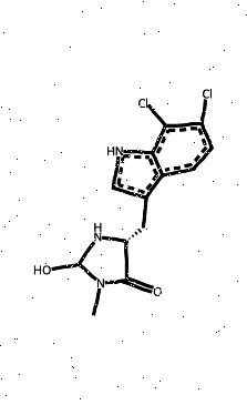 CN1C(=O)[C@@H](Cc2c[nH]c3c(Cl)c(Cl)ccc23)NC1O